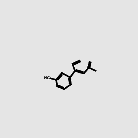 C=C/C(=C\C(=C)C)c1cccc(C#N)c1